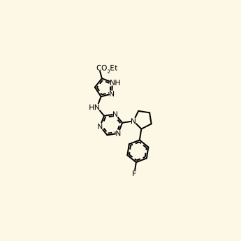 CCOC(=O)c1cc(Nc2ncnc(N3CCCC3c3ccc(F)cc3)n2)n[nH]1